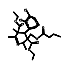 CCCC(=O)OCC1(C(=O)OCC)C(C)N=C(C)C(C)(C(=O)OCC)C1c1cccc(Cl)c1Cl